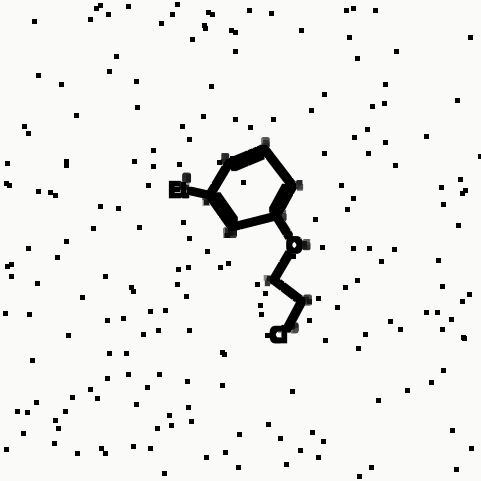 CCc1c[c]cc(OCCCl)c1